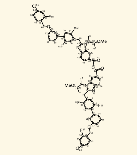 CO[C@@H](C)[C@H](C)n1c(Cc2cc(F)c(-c3cccc(OCc4ccc(Cl)cc4F)n3)cc2F)nc2ccc(C(=O)OC(=O)c3ccc4nc(Cc5cc(F)c(-c6cccc(OCc7ccc(Cl)cc7F)n6)cc5F)n([C@@H](C)[C@H](C)OC)c4c3)cc21